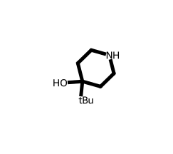 CC(C)(C)C1(O)CCNCC1